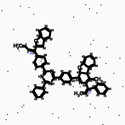 C=C/C=C(/c1ccc(-c2nc(-c3ccccc3)nc(-c3ccc(C4=NC(/C(=C\C)c5ccccc5)=C(C)C5c6ccccc6OC45)cc3)n2)cc1)c1cc2ccccc2o1